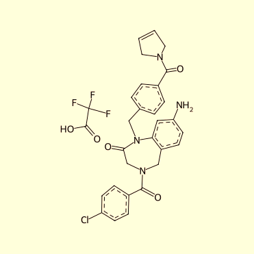 Nc1ccc2c(c1)N(Cc1ccc(C(=O)N3CC=CC3)cc1)C(=O)CN(C(=O)c1ccc(Cl)cc1)C2.O=C(O)C(F)(F)F